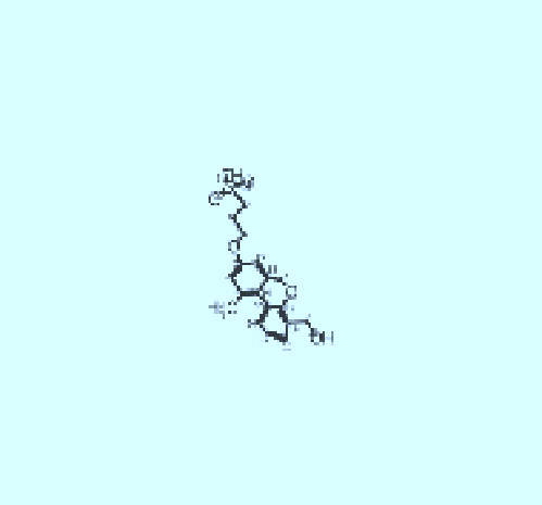 Cc1cc(OCCCS(C)(=O)=O)cc2c1-c1cccc(CO)c1OC2